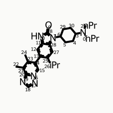 CCCN(CCC)C1CCC(n2c(=O)[nH]c3cc(-c4cn5ncnc5c(C)c4C)c(C(C)C)cc32)CC1